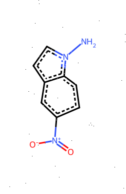 Nn1ccc2cc([N+](=O)[O-])ccc21